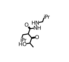 CC(C)CNNC(=O)C(CC(C)C)C(=O)C(C)O